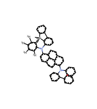 [2H]c1c([2H])c([2H])c(N(c2cccc3c2[Si](C)(C)c2ccccc2-3)c2ccc3ccc4c(N(c5ccccc5)c5ccccc5-c5ccccc5)ccc5ccc2c3c54)c([2H])c1[2H]